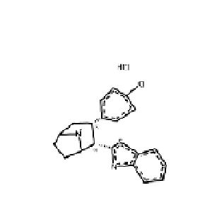 CN1C2CCC1[C@@H](c1nc3ccccc3s1)[C@@H](c1ccc(Cl)cc1)C2.Cl